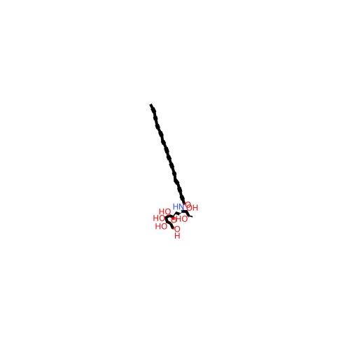 CC#CC#CC#CC#CC#CC#CC#CC#CC#CC#CC#CC#CC(=O)N[C@@H](CC[C@H]1OC(CO)[C@@H](O)[C@H](O)C1O)[C@H](O)[C@@H](C)O